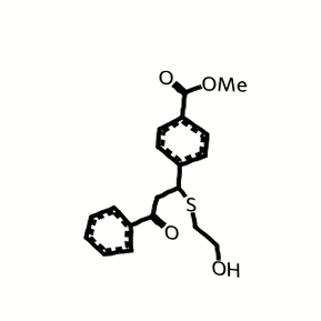 COC(=O)c1ccc(C(CC(=O)c2ccccc2)SCCO)cc1